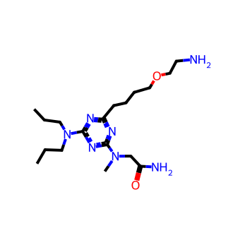 CCCN(CCC)c1nc(CCCCOCCN)nc(N(C)CC(N)=O)n1